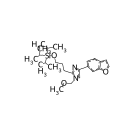 COCn1cc(-c2ccc3ccoc3c2)nc1CCCO[Si](C(C)C)(C(C)C)C(C)C